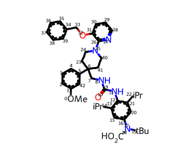 COc1cccc(C2(CNC(=O)Nc3c(C(C)C)cc(N(C(=O)O)C(C)(C)C)cc3C(C)C)CCN(c3ncccc3OCc3ccccc3)CC2)c1